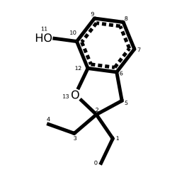 CCC1(CC)Cc2cccc(O)c2O1